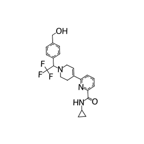 O=C(NC1CC1)c1cccc(C2=CCN(C(c3ccc(CO)cc3)C(F)(F)F)CC2)n1